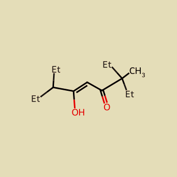 CCC(CC)/C(O)=C/C(=O)C(C)(CC)CC